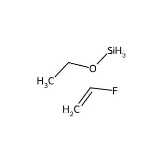 C=CF.CCO[SiH3]